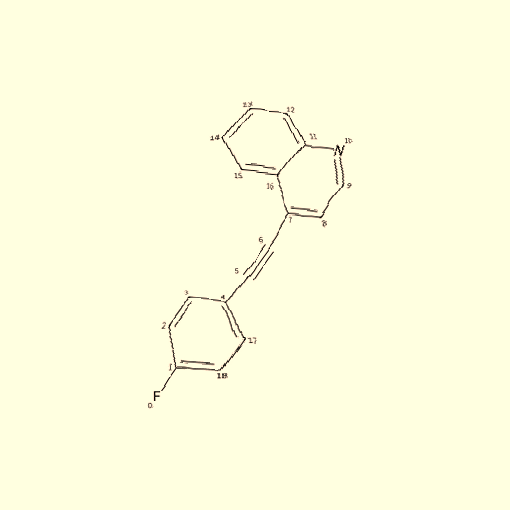 Fc1ccc(C#Cc2ccnc3ccccc23)cc1